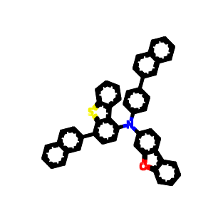 c1ccc2cc(-c3ccc(N(c4ccc5c(c4)oc4ccccc45)c4ccc(-c5ccc6ccccc6c5)c5sc6ccccc6c45)cc3)ccc2c1